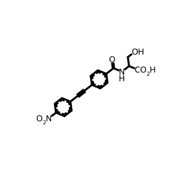 O=C(NC(CO)C(=O)O)c1ccc(C#Cc2ccc([N+](=O)[O-])cc2)cc1